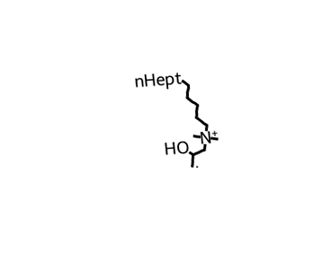 [CH2]C(O)C[N+](C)(C)CCCCCCCCCCCC